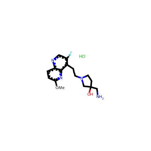 COc1ccc2ncc(F)c(CCN3CCC(O)(CN)C3)c2n1.Cl